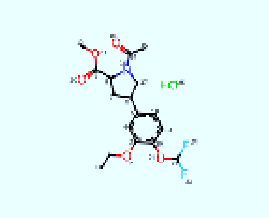 CCOc1cc(C2CC(C(=O)OC)N(C(C)=O)C2)ccc1OC(F)F.Cl